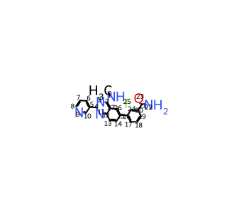 CNc1nc(-c2cccnc2)nc2ccc(-c3cccc(C(N)=O)c3F)cc12